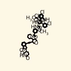 COc1cc(C(=O)N2CCCCC2C2CCOCC2C#Cc2cccc3c2CN(C2CCC(=O)NC2=O)C3=O)ccc1NC(=O)[C@@H]1N[C@@H](CC(C)(C)C)[C@@]2(CNc3cc(Cl)ccc32)[C@H]1c1cccc(Cl)c1F